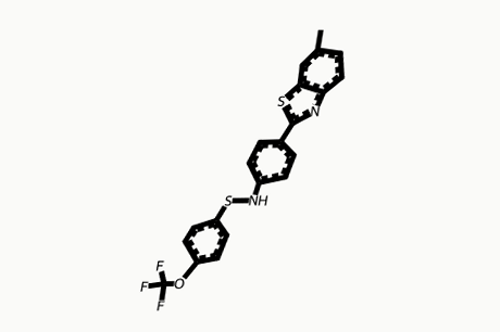 Cc1ccc2nc(-c3ccc(NSc4ccc(OC(F)(F)F)cc4)cc3)sc2c1